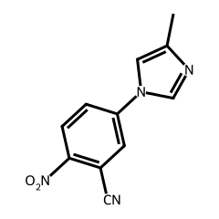 Cc1cn(-c2ccc([N+](=O)[O-])c(C#N)c2)cn1